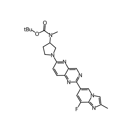 Cc1cn2cc(-c3ncc4nc(N5CCC(N(C)C(=O)OC(C)(C)C)C5)ccc4n3)cc(F)c2n1